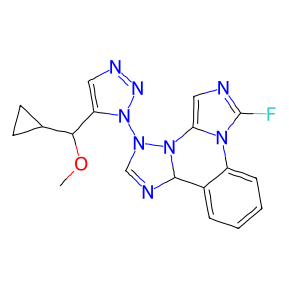 COC(c1cnnn1N1C=NC2c3ccccc3-n3c(cnc3F)N21)C1CC1